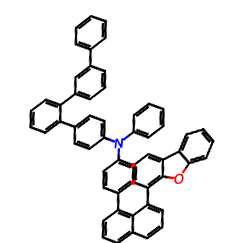 c1ccc(-c2cccc(-c3ccccc3-c3ccc(N(c4ccccc4)c4ccc(-c5cccc6cccc(-c7cccc8c7oc7ccccc78)c56)cc4)cc3)c2)cc1